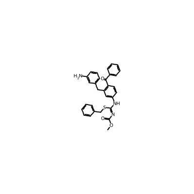 COC(=O)N=C(Nc1ccc(C(=O)c2ccccc2)c(Cc2cccc(N)c2)c1)SCc1ccccc1